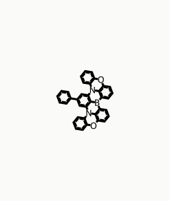 c1ccc(-c2cc3c4c(c2)N2c5ccccc5Oc5cccc(c52)B4c2cccc4c2N3c2ccccc2O4)cc1